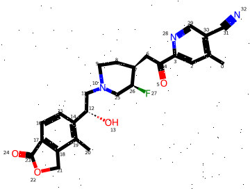 Cc1cc(C(=O)C[C@@H]2CCN(C[C@H](O)c3ccc4c(c3C)COC4=O)C[C@@H]2F)ncc1C#N